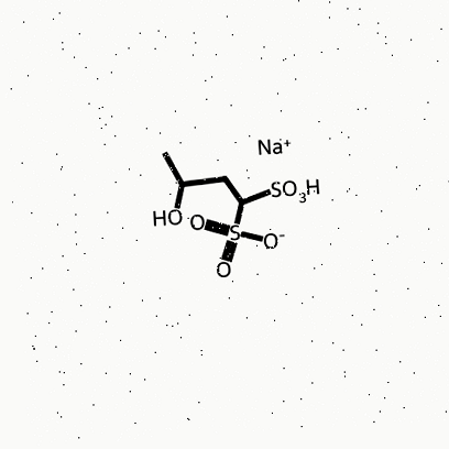 CC(O)CC(S(=O)(=O)[O-])S(=O)(=O)O.[Na+]